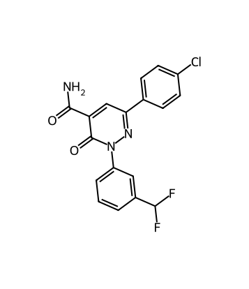 NC(=O)c1cc(-c2ccc(Cl)cc2)nn(-c2cccc(C(F)F)c2)c1=O